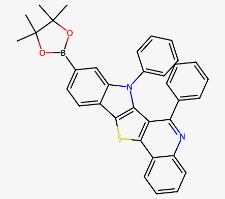 CC1(C)OB(c2ccc3c4sc5c6ccccc6nc(-c6ccccc6)c5c4n(-c4ccccc4)c3c2)OC1(C)C